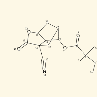 CCC(C)(C)C(=O)OC1C2CC3OC(=O)C(C#N)(C2)C31